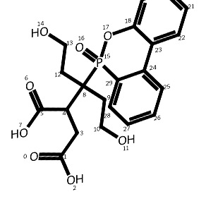 O=C(O)CC(C(=O)O)C(CCO)(CCO)P1(=O)Oc2ccccc2-c2ccccc21